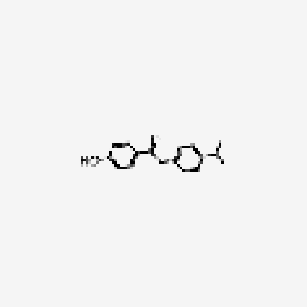 CC(C)c1ccc(CC(=O)c2ccc(O)cc2)cc1